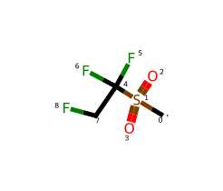 [CH2]S(=O)(=O)C(F)(F)CF